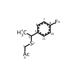 CC(=O)CSC(C)c1ccc(F)cc1